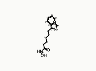 O=C(CCCCCc1ncn2ccccc12)NO